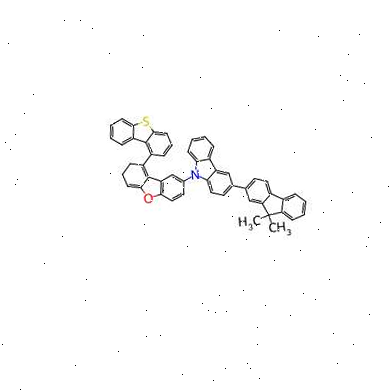 CC1(C)c2ccccc2-c2ccc(-c3ccc4c(c3)c3ccccc3n4-c3ccc4oc5c(c4c3)=C(c3cccc4sc6ccccc6c34)CCC=5)cc21